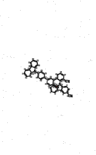 N#Cc1ccc2c(c1)c1ccccc1n2-c1c(C#N)cccc1-c1cc(-c2ccc(-n3c4ccccc4c4ccccc43)cc2)ccc1C#N